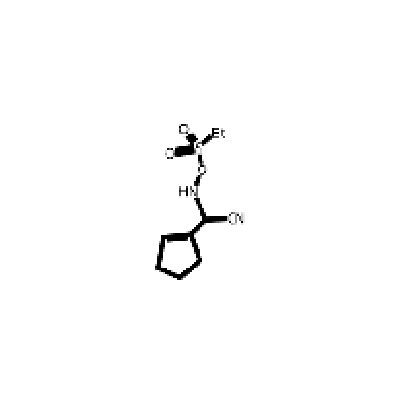 CCS(=O)(=O)ONC(C#N)C1=CCCC1